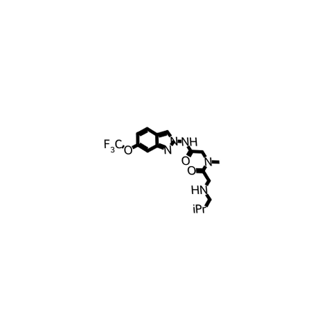 CC(C)CNCC(=O)N(C)CC(=O)Nn1cc2ccc(OC(F)(F)F)cc2n1